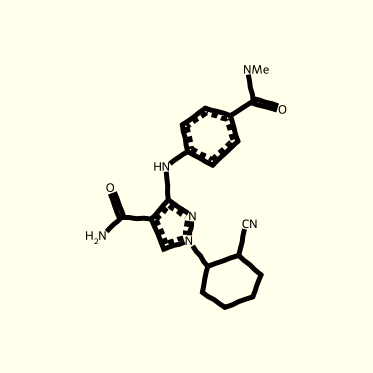 CNC(=O)c1ccc(Nc2nn(C3CCCCC3C#N)cc2C(N)=O)cc1